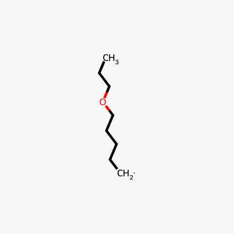 [CH2]CCCCOCCC